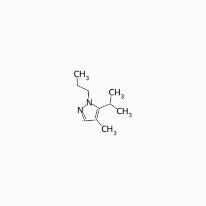 CCCn1n[c]c(C)c1C(C)C